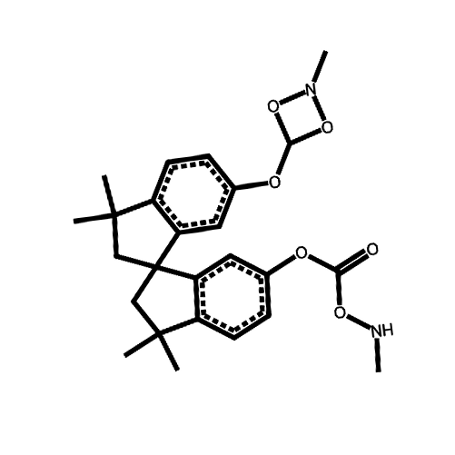 CNOC(=O)Oc1ccc2c(c1)C1(CC2(C)C)CC(C)(C)c2ccc(OC3ON(C)O3)cc21